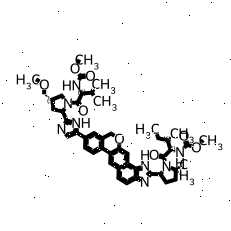 CC[C@H](C)[C@H](NC(=O)OC)C(=O)N1C(c2nc3ccc4cc5c(cc4c3[nH]2)OCc2cc(-c3cnc(C4C[C@H](COC)CN4C(=O)[C@@H](NC(=O)OC)C(C)C)[nH]3)ccc2-5)CC[C@@H]1C